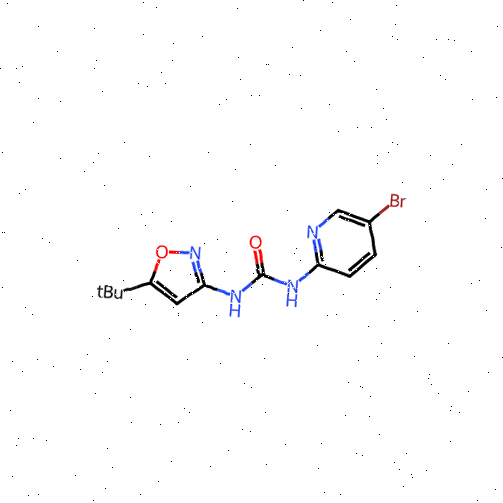 CC(C)(C)c1cc(NC(=O)Nc2ccc(Br)cn2)no1